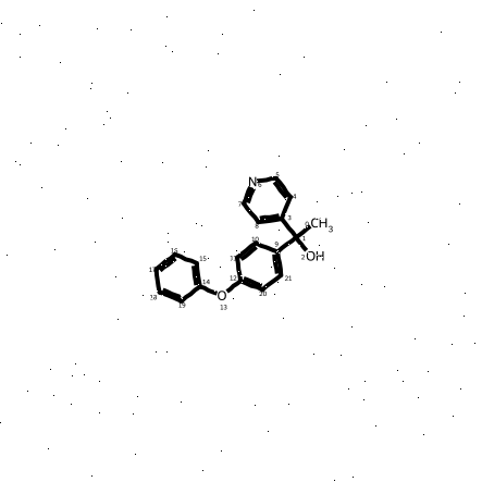 CC(O)(c1ccncc1)c1ccc(Oc2ccccc2)cc1